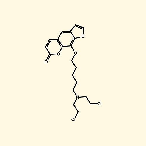 O=c1ccc2cc3ccoc3c(OCCCCCN(CCCl)CCCl)c2o1